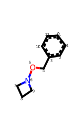 [c]1ccc(CON2CCC2)cc1